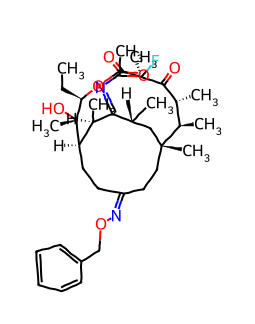 CC[C@H]1OC(=O)[C@@](C)(F)C(=O)[C@H](C)[C@@H](C)[C@]2(C)CC/C(=N/OCc3ccccc3)CC[C@H]([C@@H](C)/C(=N/C(C)=O)[C@H](C)C2)[C@]1(C)O